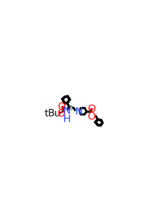 CC(C)(C)OC(=O)N[C@@H](CCN1CCC(C(=O)OCc2ccccc2)CC1)c1ccccc1